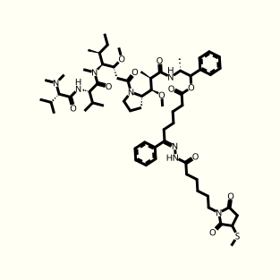 CC[C@H](C)[C@@H]([C@@H](CC(=O)N1CCC[C@H]1[C@H](OC)[C@@H](C)C(=O)N[C@H](C)C(OC(=O)CCCC/C(=N/NC(=O)CCCCCN1C(=O)CC(SC)C1=O)c1ccccc1)c1ccccc1)OC)N(C)C(=O)[C@@H](NC(=O)[C@H](C(C)C)N(C)C)C(C)C